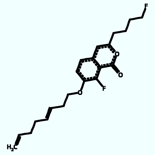 C=CCC/C=C/CCOc1ccc2cc(CCCCF)oc(=O)c2c1F